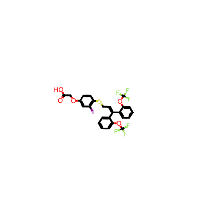 O=C(O)COc1ccc(SCC=C(c2ccccc2OC(F)(F)F)c2ccccc2OC(F)(F)F)c(I)c1